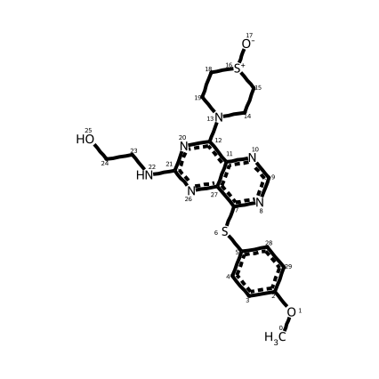 COc1ccc(Sc2ncnc3c(N4CC[S+]([O-])CC4)nc(NCCO)nc23)cc1